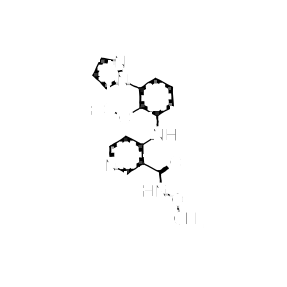 CONC(=O)c1cnccc1Nc1cccc(-n2cccn2)c1OC